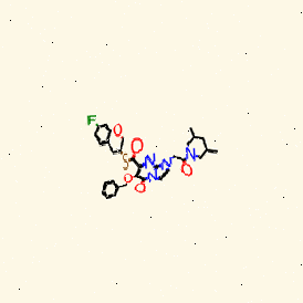 CC1CC(C)CN(C(=O)Cn2ccn3c(=O)c(OCc4ccccc4)c(C(=O)SC(C=O)Cc4ccc(F)cc4)nc23)C1